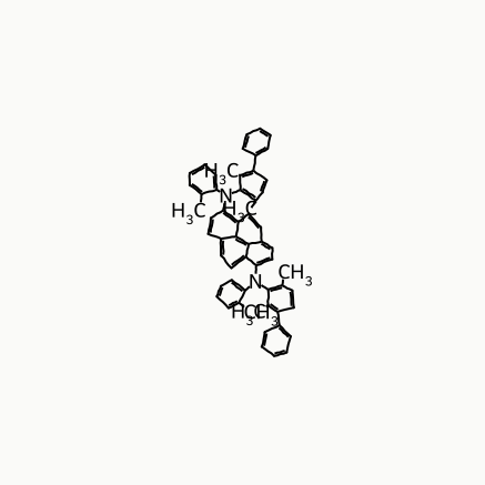 Cc1ccccc1N(c1c(C)ccc(-c2ccccc2)c1C)c1ccc2ccc3c(N(c4ccccc4C)c4c(C)ccc(-c5ccccc5)c4C)ccc4ccc1c2c43